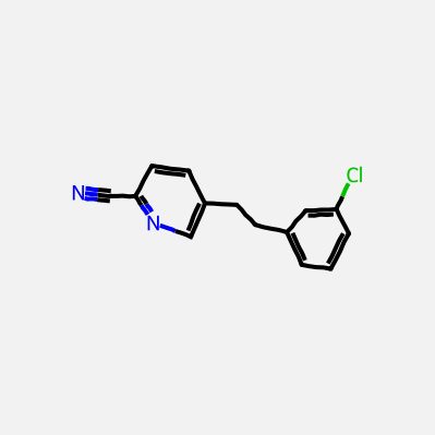 N#Cc1ccc(CCc2cccc(Cl)c2)cn1